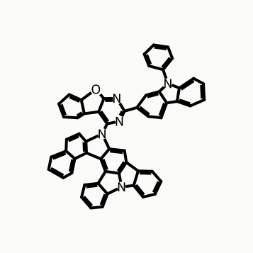 c1ccc(-n2c3ccccc3c3ccc(-c4nc(-n5c6ccc7ccccc7c6c6c7c8ccccc8n8c9ccccc9c(cc65)c78)c5c(n4)oc4ccccc45)cc32)cc1